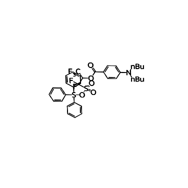 CCCCN(CCCC)c1ccc(C(=O)OC(C(F)(F)F)C(F)(F)S(=O)(=O)OS(c2ccccc2)(c2ccccc2)c2ccccc2)cc1